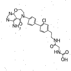 Nc1ncnc2c1C(=O)N(c1ccc(-c3ccc(CCNC(=O)CNC(=O)O)cc3Cl)cc1)CCO2